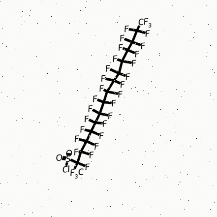 O=S(=O)(Cl)C(F)(C(F)(F)F)C(F)(F)C(F)(F)C(F)(F)C(F)(F)C(F)(F)C(F)(F)C(F)(F)C(F)(F)C(F)(F)C(F)(F)C(F)(F)C(F)(F)C(F)(F)C(F)(F)F